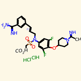 CC(=N)N1CCC(Oc2c(F)cc(N(C/C=C/c3cccc(C(=N)N)c3)S(=O)(=O)CC(=O)O)cc2F)CC1.Cl.Cl